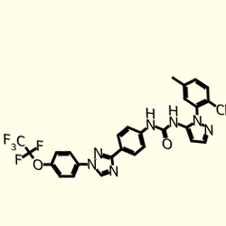 Cc1ccc(Cl)c(-n2nccc2NC(=O)Nc2ccc(-c3ncn(-c4ccc(OC(F)(F)C(F)(F)F)cc4)n3)cc2)c1